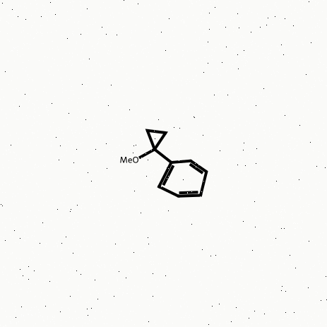 COC1(c2ccccc2)CC1